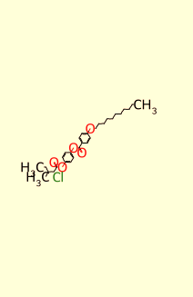 CCCCCCCCCCCOc1ccc(C(=O)Oc2ccc(OC(=O)C(Cl)C(C)CC)cc2)cc1